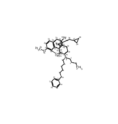 CCCCN(CCCCCCc1ccccc1)[C@@H]1CC[C@@]2(O)[C@H]3Cc4ccc(OC)c5c4[C@@]2(CCN3CC2CC2)[C@H]1O5